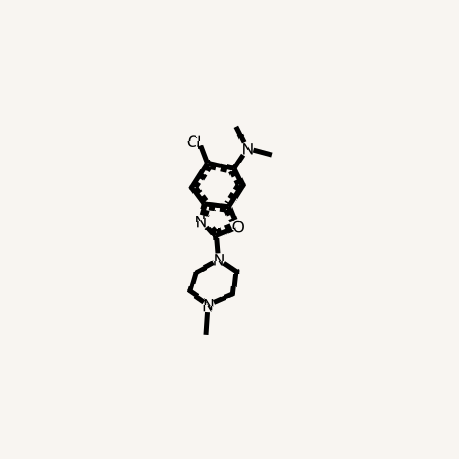 CN1CCN(c2nc3cc(Cl)c(N(C)C)cc3o2)CC1